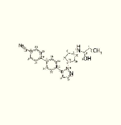 CCC(O)N[C@H]1CC[C@@H](n2nccc2-c2ccc(-c3ccc(C#N)cc3)cc2)C1